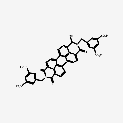 O=C(O)c1cc(CN2C(=O)c3ccc4c5ccc6c7c(ccc(c8ccc(c3c48)C2=O)c75)C(O)N(Cc2cc(C(=O)O)cc(S(=O)(=O)O)c2)C6=O)cc(S(=O)(=O)O)c1